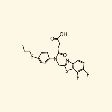 CCCSc1ccc(N(Cc2nc3ccc(F)c(F)c3s2)C(=O)CCC(=O)O)cc1